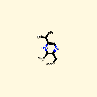 CCCC(CC)C1=CN=C(CNC)C(OC)N1